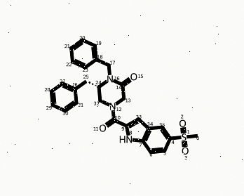 CS(=O)(=O)c1ccc2[nH]c(C(=O)N3CC(=O)N(Cc4ccccc4)[C@@H](Cc4ccccc4)C3)cc2c1